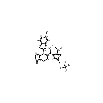 O=C(c1oc(COC(F)(F)F)nc1C(F)F)N1CCc2[nH]cnc2[C@H]1c1nc2cc(F)ccc2o1